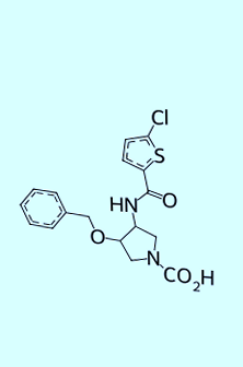 O=C(NC1CN(C(=O)O)CC1OCc1ccccc1)c1ccc(Cl)s1